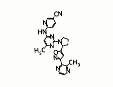 Cc1cc(Nc2ccc(C#N)cn2)nc(N2CCC[C@H]2c2cc(-c3nccnc3C)no2)n1